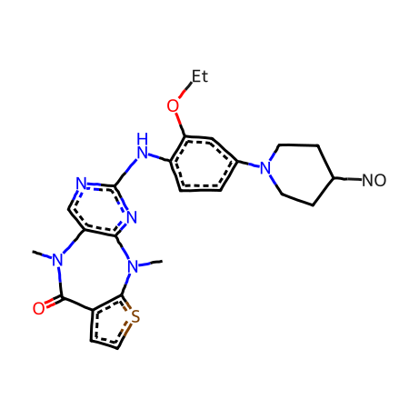 CCOc1cc(N2CCC(N=O)CC2)ccc1Nc1ncc2c(n1)N(C)c1sccc1C(=O)N2C